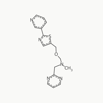 CN(COCc1cnc(-c2cccnc2)s1)Cc1ncccn1